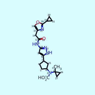 CC1(N(C(=O)O)C2CCC(c3cc(NC(=O)Cc4coc(C5CC5)n4)n[nH]3)C2)CC1